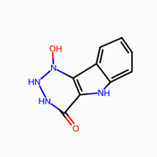 O=C1NNN(O)c2c1[nH]c1ccccc21